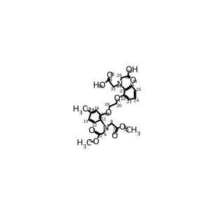 COC(=O)CN(CC(=O)OC)c1ccc(C)cc1OCCOc1ccccc1N(CC(=O)O)CC(=O)O